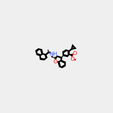 COC(=O)c1cc([C@@H]2C[C@H](CN[C@H](C)c3cccc4ccccc34)Oc3ccccc32)ccc1C1CC1